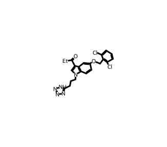 CCC(=O)c1cn(CCCc2nnn[nH]2)c2ccc(OCc3c(Cl)cccc3Cl)cc12